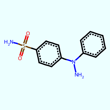 NN(c1ccccc1)c1ccc(S(N)(=O)=O)cc1